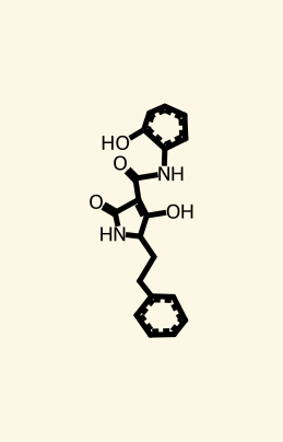 O=C(Nc1ccccc1O)C1=C(O)C(CCc2ccccc2)NC1=O